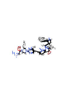 C[C@@H]1CN(c2ncc(-c3ccc4c(n3)N(Cc3cccnc3C#N)C(C)(C)C4=O)cn2)CCN1C(=O)CN